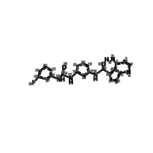 Nc1ncnc2scc(C(=O)Nc3cccc(NC(=O)Nc4cccc(F)c4)c3)c12